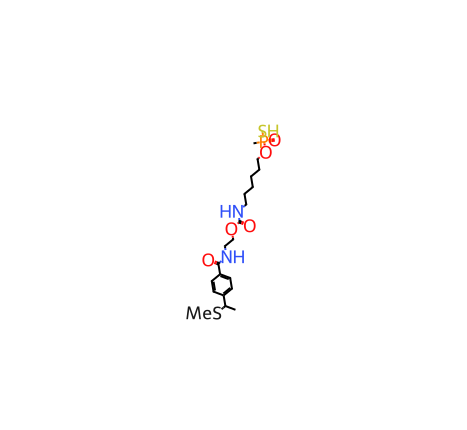 CSC(C)c1ccc(C(=O)NCCOC(=O)NCCCCCCOP(C)(=O)S)cc1